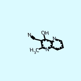 Cc1nc2cccnc2c(O)c1C#N